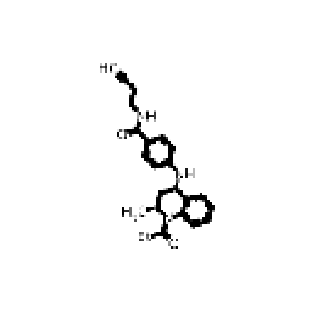 C#CCCNC(=O)c1ccc(N[C@@H]2C[C@H](C)N(C(=O)CC)c3ccccc32)cc1